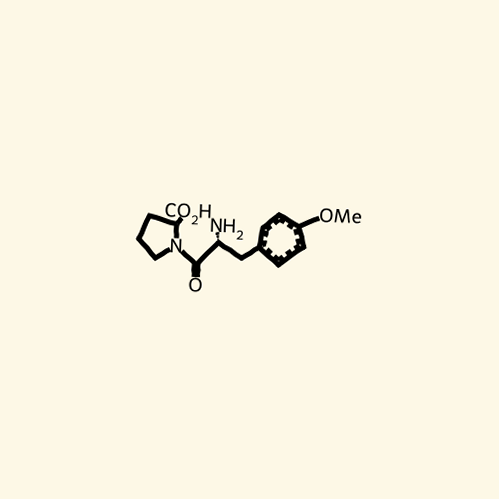 COc1ccc(C[C@@H](N)C(=O)N2CCCC2C(=O)O)cc1